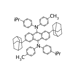 Cc1ccc(N(c2ccc(C(C)C)cc2)c2c3ccc(C45CC6CC(CC(C6)C4)C5)cc3c(N(c3ccc(C)cc3)c3ccc(C(C)C)cc3)c3ccc(C45CC6CC(CC(C6)C4)C5)cc23)cc1